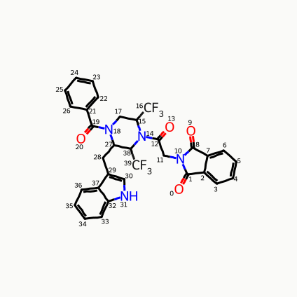 O=C1c2ccccc2C(=O)N1CC(=O)N1C(C(F)(F)F)CN(C(=O)c2ccccc2)C(Cc2c[nH]c3ccccc23)C1C(F)(F)F